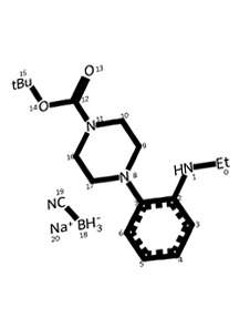 CCNc1ccccc1N1CCN(C(=O)OC(C)(C)C)CC1.[BH3-]C#N.[Na+]